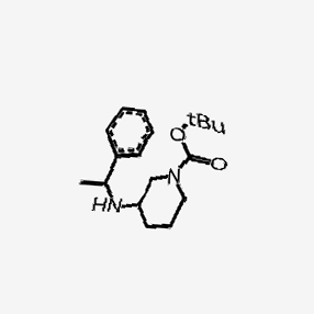 CC(NC1CCCN(C(=O)OC(C)(C)C)C1)c1ccccc1